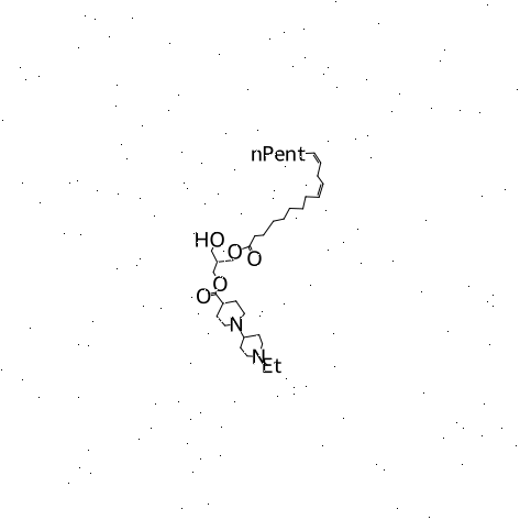 CCCCC/C=C\C/C=C\CCCCCCCC(=O)OCC(CO)COC(=O)C1CCN(C2CCN(CC)CC2)CC1